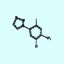 Cc1cc(C(F)(F)F)c(Cl)cc1-n1ccnn1